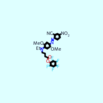 CCN(CCCC(=O)Oc1c(F)c(F)c(F)c(F)c1F)c1cc(OC)c(N=Nc2ccc([N+](=O)[O-])cc2C#N)cc1OC